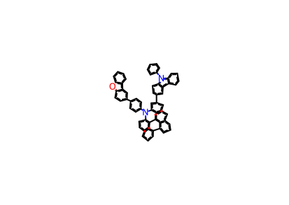 c1ccc(-c2cccc3cccc(-c4ccccc4N(c4ccc(-c5ccc6oc7ccccc7c6c5)cc4)c4cccc(-c5ccc6c(c5)c5ccccc5n6-c5ccccc5)c4)c23)cc1